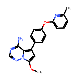 COc1cc(-c2ccc(Oc3cccc(C)n3)cc2)c2c(N)ncnn12